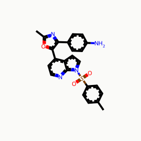 Cc1ccc(S(=O)(=O)n2ccc3c(-c4oc(C)nc4-c4ccc(N)cc4)ccnc32)cc1